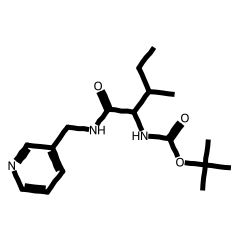 CCC(C)C(NC(=O)OC(C)(C)C)C(=O)NCc1cccnc1